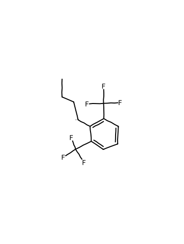 CCC[CH]c1c(C(F)(F)F)cccc1C(F)(F)F